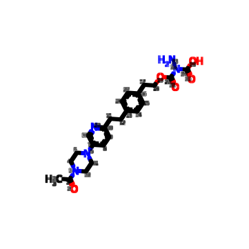 CC(=O)N1CCN(c2ccc(CCc3ccc(CCOC(=O)N(N)C(=O)O)cc3)nc2)CC1